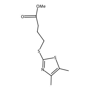 COC(=O)CCCSc1nc(C)c(C)s1